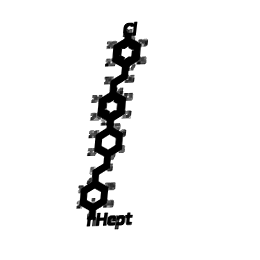 CCCCCCCC1CCC(CCC2CCC(c3ccc(CCc4ccc(Cl)cc4)cc3)CC2)CC1